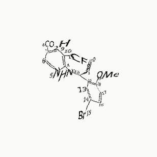 C#C[C@H](Nc1ncc(C(=O)O)cc1C(F)(F)F)c1cc(Br)ccc1OC